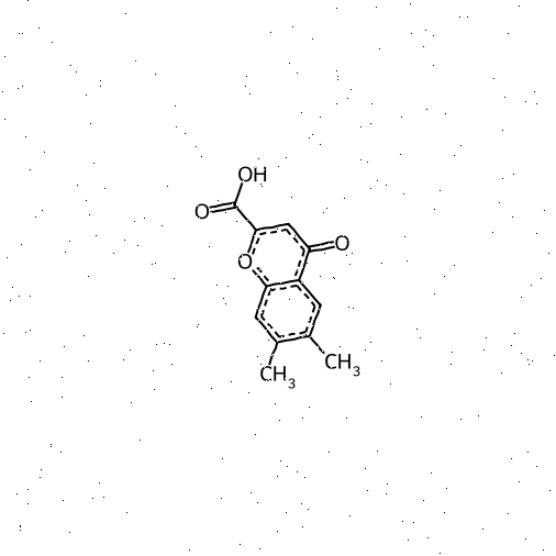 Cc1cc2oc(C(=O)O)cc(=O)c2cc1C